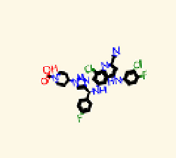 N#Cc1cc(Nc2ccc(F)c(Cl)c2)c2cc(N[C@@H](c3ccc(F)cc3)c3cn(C4CCN(C(=O)O)CC4)nn3)cc(Cl)c2n1